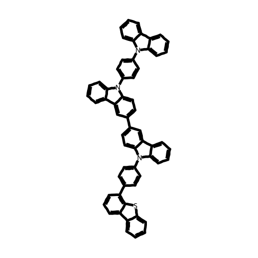 c1ccc2c(c1)sc1c(-c3ccc(-n4c5ccccc5c5cc(-c6ccc7c(c6)c6ccccc6n7-c6ccc(-n7c8ccccc8c8ccccc87)cc6)ccc54)cc3)cccc12